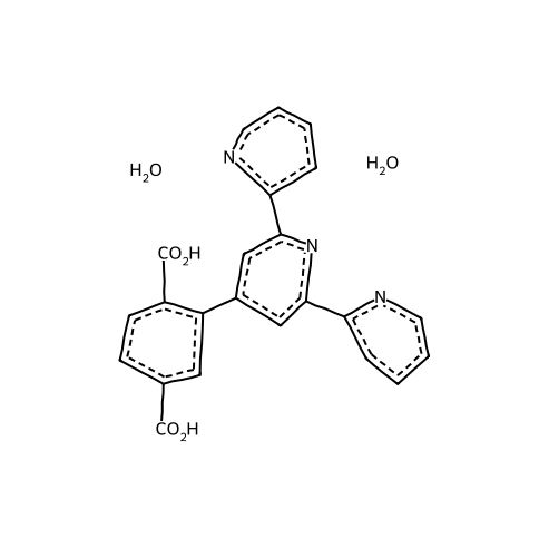 O.O.O=C(O)c1ccc(C(=O)O)c(-c2cc(-c3ccccn3)nc(-c3ccccn3)c2)c1